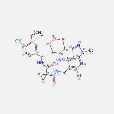 C=Cc1cc(CNC(=O)C2(C(=O)NCc3c(CC)nc4c(cnn4CC)c3NC3CCOCC3)CC2)ccc1Cl